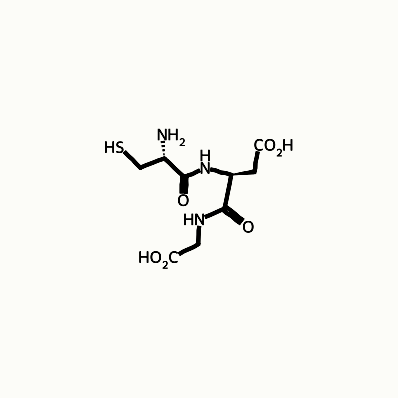 N[C@@H](CS)C(=O)N[C@@H](CC(=O)O)C(=O)NCC(=O)O